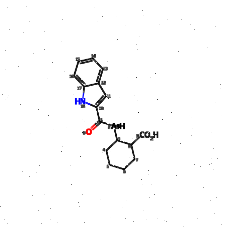 O=C([AsH]C1CCCCC1C(=O)O)c1cc2ccccc2[nH]1